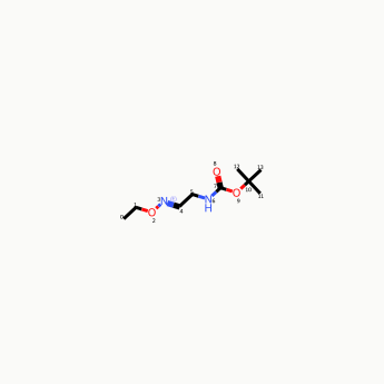 CCO/N=C/CNC(=O)OC(C)(C)C